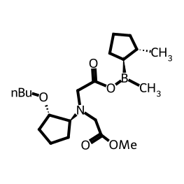 CCCCO[C@H]1CCC[C@@H]1N(CC(=O)OC)CC(=O)OB(C)[C@H]1CCC[C@@H]1C